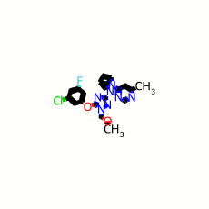 COCn1nc(NC2C3=CC2CN3c2cc(C)ncn2)nc1Oc1cc(F)cc(Cl)c1